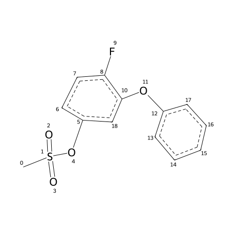 CS(=O)(=O)Oc1ccc(F)c(Oc2ccccc2)c1